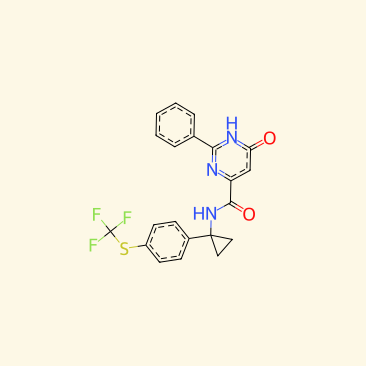 O=C(NC1(c2ccc(SC(F)(F)F)cc2)CC1)c1cc(=O)[nH]c(-c2ccccc2)n1